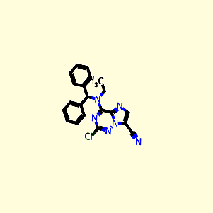 CCN(c1nc(Cl)nn2c(C#N)cnc12)C(c1ccccc1)c1ccccc1